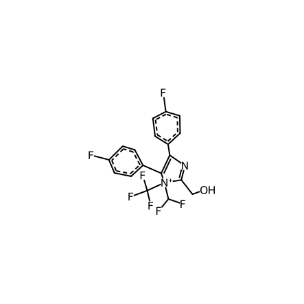 OCC1=NC(c2ccc(F)cc2)=C(c2ccc(F)cc2)[N+]1(C(F)F)C(F)(F)F